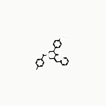 Cc1ccc(C(=O)N2C/C(=C/c3ccccn3)C(=O)C(c3ccc(O)cc3)C2)cc1